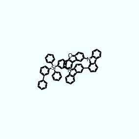 c1ccc(-c2cccc([Si](c3ccccc3)(c3ccccc3)c3cccc(-n4c5ccccc5c5cc(-c6cccc7c8ccccc8n(-c8ccc9oc%10ccccc%10c9c8)c67)ccc54)c3)c2)cc1